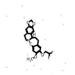 COc1cc2c(cc1OCC(F)F)CC[C@H]1c3cc4c(cc3CCN1C2)OCO4